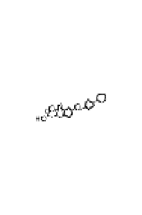 CN1C(=O)C(CC(=O)O)Cc2ccc(OCc3ccc(-c4ccccc4)cc3)cc21